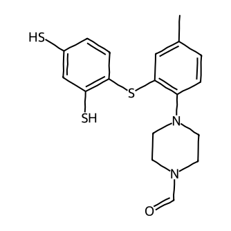 Cc1ccc(N2CCN(C=O)CC2)c(Sc2ccc(S)cc2S)c1